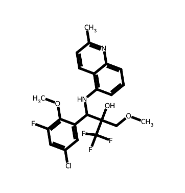 COCC(O)(C(Nc1cccc2nc(C)ccc12)c1cc(Cl)cc(F)c1OC)C(F)(F)F